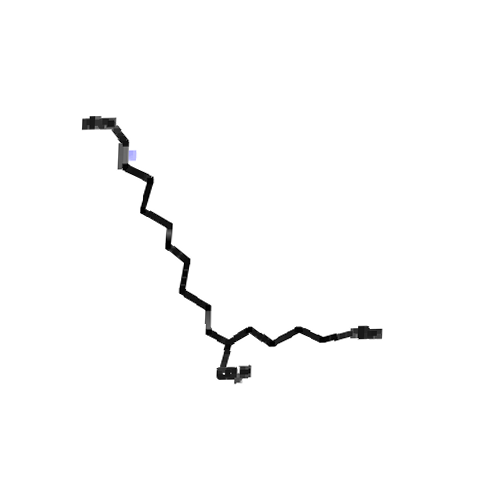 CCCCCC/C=C/CCCCCCCCC(CCCCCCCCCCCCCC)C(=O)O